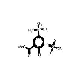 COC(=O)c1cc([N+](C)(C)C)ccc1Cl.O=S(=O)([O-])C(F)(F)F